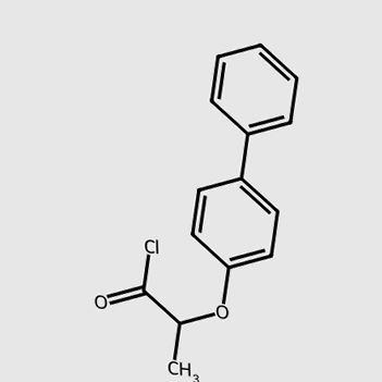 CC(Oc1ccc(-c2ccccc2)cc1)C(=O)Cl